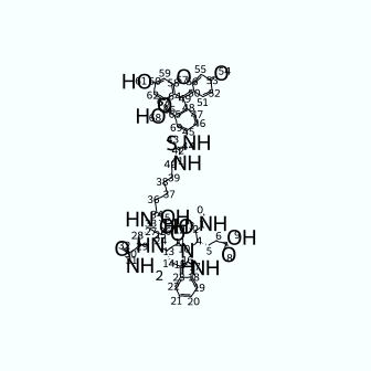 CN[C@@H](O)[C@H](CCC(=O)O)NC(=O)[C@H](Cc1c[nH]c2ccccc12)N[C@@H](O)[C@H](CCC(N)=O)N[C@H](O)CCCCCNC(=S)Nc1ccc(-c2c3ccc(=O)cc-3oc3cc(O)ccc23)c(C(=O)O)c1